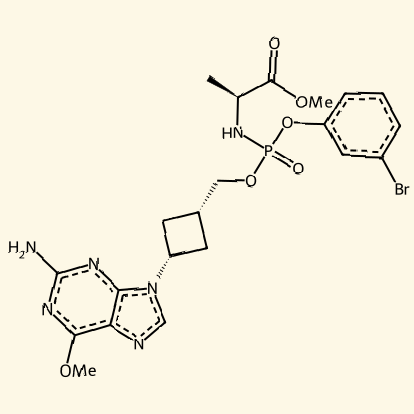 COC(=O)[C@H](C)NP(=O)(OC[C@H]1C[C@@H](n2cnc3c(OC)nc(N)nc32)C1)Oc1cccc(Br)c1